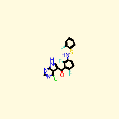 O=C(c1c(F)ccc(NSc2ccccc2F)c1F)c1c[nH]c2ncnc(Cl)c12